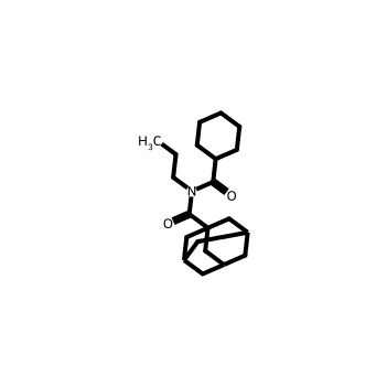 CCCN(C(=O)C1CCCCC1)C(=O)C12CC3CC(CC(C3)C1)C2